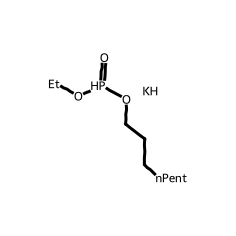 CCCCCCCCO[PH](=O)OCC.[KH]